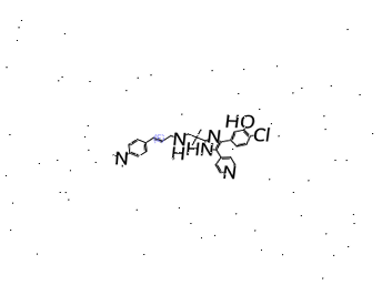 CN(C)c1ccc(/C=C/CNCC(C)(C)c2nc(-c3ccc(Cl)c(O)c3)c(-c3ccncc3)[nH]2)cc1